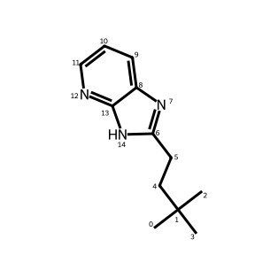 CC(C)(C)CCc1nc2cccnc2[nH]1